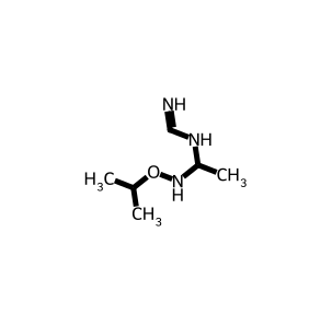 CC(NC=N)NOC(C)C